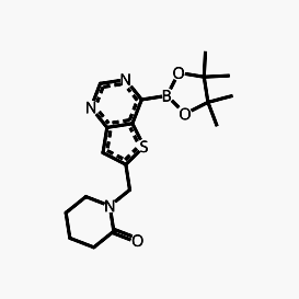 CC1(C)OB(c2ncnc3cc(CN4CCCCC4=O)sc23)OC1(C)C